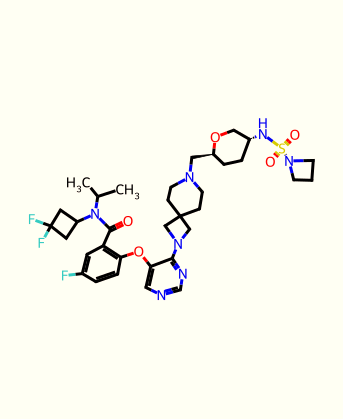 CC(C)N(C(=O)c1cc(F)ccc1Oc1cncnc1N1CC2(CCN(C[C@@H]3CC[C@@H](NS(=O)(=O)N4CCC4)CO3)CC2)C1)C1CC(F)(F)C1